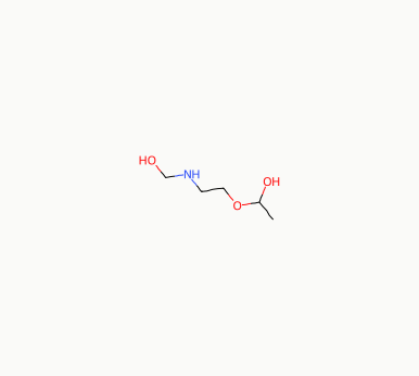 CC(O)OCCNCO